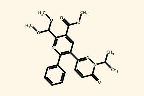 COC(=O)c1cc(-c2ccc(=O)n(C(C)C)n2)c(-c2ccccc2)nc1C(OC)OC